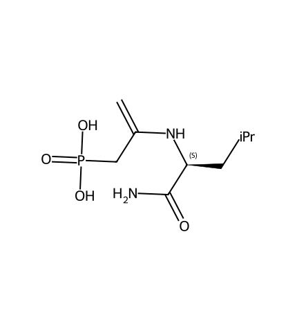 C=C(CP(=O)(O)O)N[C@@H](CC(C)C)C(N)=O